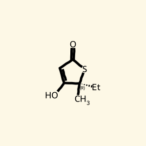 CC[C@@]1(C)SC(=O)C=C1O